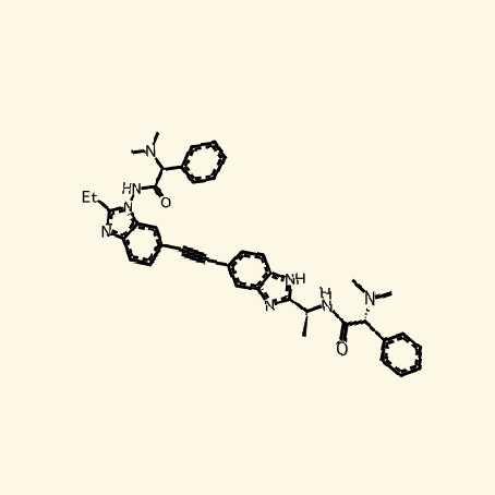 CCc1nc2ccc(C#Cc3ccc4[nH]c([C@H](C)NC(=O)[C@@H](c5ccccc5)N(C)C)nc4c3)cc2n1NC(=O)C(c1ccccc1)N(C)C